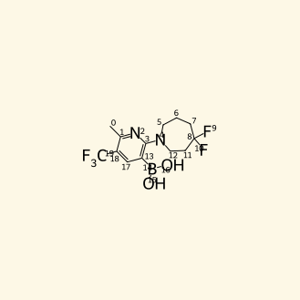 Cc1nc(N2CCCC(F)(F)CC2)c(B(O)O)cc1C(F)(F)F